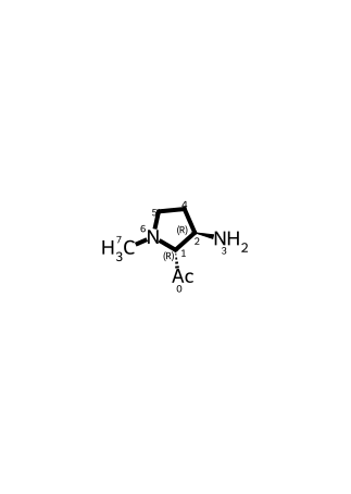 CC(=O)[C@H]1[C@H](N)CCN1C